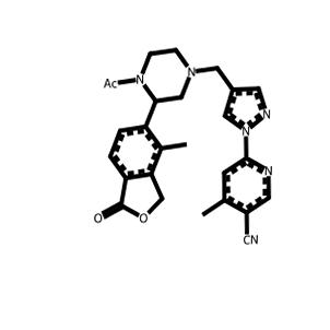 CC(=O)N1CCN(Cc2cnn(-c3cc(C)c(C#N)cn3)c2)CC1c1ccc2c(c1C)COC2=O